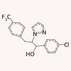 OC(c1ccc(Cl)cc1)C(Cc1ccc(C(F)(F)F)cc1)n1cccn1